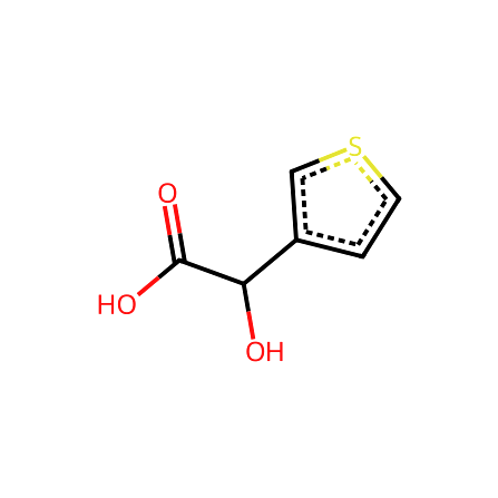 O=C(O)C(O)c1ccsc1